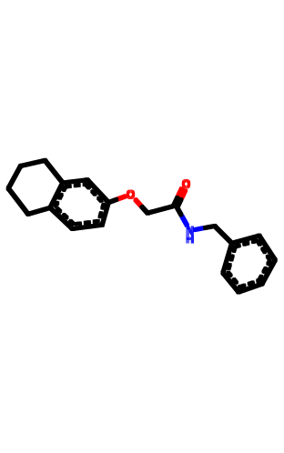 O=C(COc1ccc2c(c1)CCCC2)NCc1ccccc1